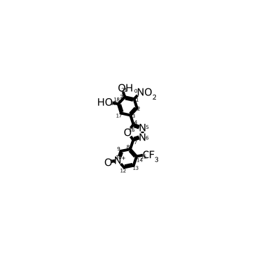 O=[N+]([O-])c1cc(-c2nnc(-c3c[n+]([O-])ccc3C(F)(F)F)o2)cc(O)c1O